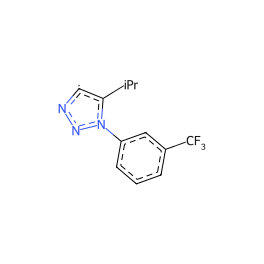 CC(C)c1[c]nnn1-c1cccc(C(F)(F)F)c1